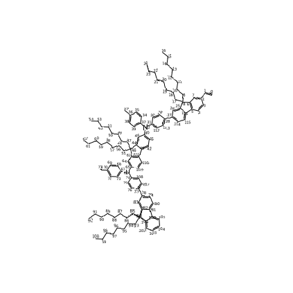 C=Cc1ccc2c(c1)C(CCCCCCCC)(CCCCCCCC)c1cc(-c3ccc(N(c4ccc(C)cc4)c4ccc5c(c4)C(CCCCCCCC)(CCCCCCCC)c4cc(N(c6ccc(C)cc6)c6ccc(-c7ccc8c(c7)C(CCCCCCCC)(CCCCCCCC)c7ccccc7-8)cc6)ccc4-5)cc3)ccc1-2